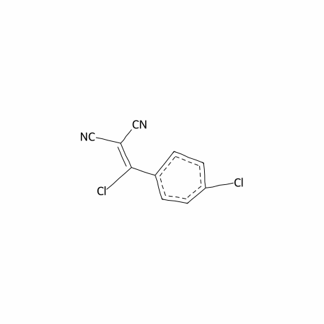 N#CC(C#N)=C(Cl)c1ccc(Cl)cc1